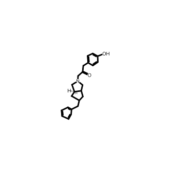 O=C(Cc1ccc(O)cc1)CN1CC2CC(Cc3ccccc3)C[C@H]2C1